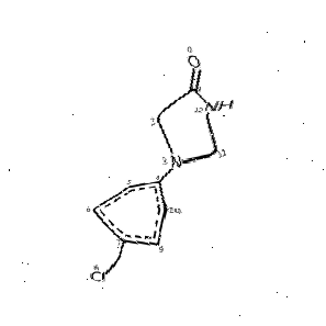 O=C1CN(c2ccc(Cl)cc2)CN1